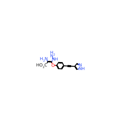 NN/C(Oc1ccc(C#Cc2cn[nH]c2)cc1)=C(\N)C(=O)O